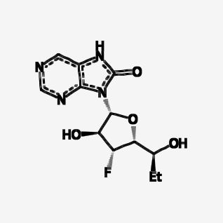 CC[C@H](O)[C@H]1O[C@@H](n2c(=O)[nH]c3cncnc32)[C@H](O)[C@H]1F